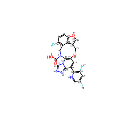 O=C(O)N1Cc2c(F)ccc3c2[C@@H](CO3)COc2cc(-c3ncc(F)cc3F)c3nncn3c21